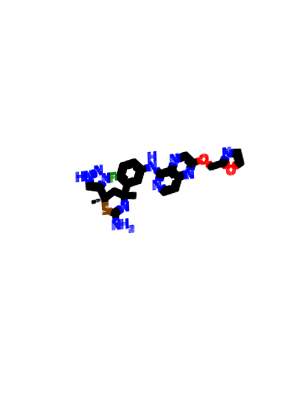 CC1(c2cc(Nc3nccc4nc(OCc5ncco5)cnc34)ccc2F)C[C@](C)(c2c[nH]nn2)SC(N)=N1